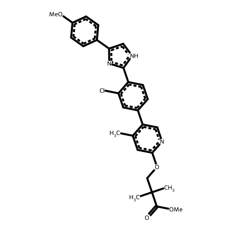 COC(=O)C(C)(C)COc1cc(C)c(-c2ccc(-c3nc(-c4ccc(OC)cc4)c[nH]3)c(Cl)c2)cn1